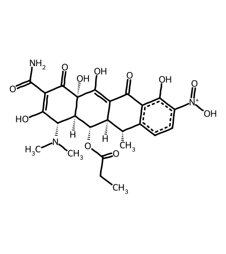 CCC(=O)O[C@H]1[C@H]2C(=C(O)[C@]3(O)C(=O)C(C(N)=O)=C(O)[C@@H](N(C)C)[C@H]13)C(=O)c1c(ccc([N+](=O)O)c1O)[C@@H]2C